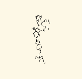 Cc1c(-c2[nH]c3ccc(N4CC5(CCN(CCS(C)(=O)=O)CC5)C4)nc3c2C(C)C)cn2ncnc2c1C